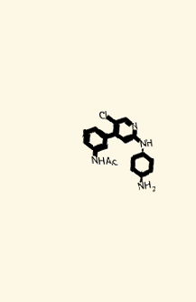 CC(=O)Nc1cccc(-c2cc(N[C@H]3CC[C@H](N)CC3)ncc2Cl)c1